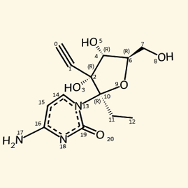 C#C[C@@]1(O)[C@H](O)[C@@H](CO)O[C@@]1(CC)n1ccc(N)nc1=O